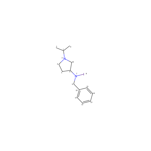 CC(C)N1CCC(N(I)Cc2ccccc2)C1